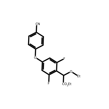 CCOC(=O)C(OCC)c1c(F)cc(Oc2ccc(C#N)cc2)cc1F